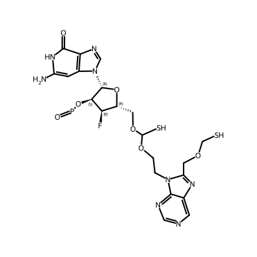 Nc1cc2c(ncn2[C@@H]2O[C@H](COC(S)OCCn3c(COCS)nc4cncnc43)[C@@H](F)[C@H]2OP=O)c(=O)[nH]1